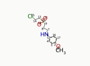 COc1ccc(NCCCS(=O)(=O)CCCl)cc1